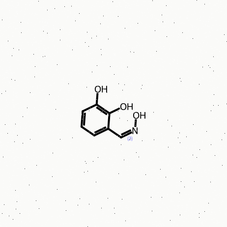 O/N=C\c1cccc(O)c1O